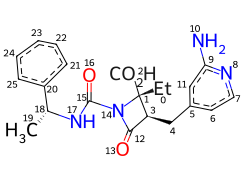 CC[C@@]1(C(=O)O)[C@@H](Cc2ccnc(N)c2)C(=O)N1C(=O)N[C@H](C)c1ccccc1